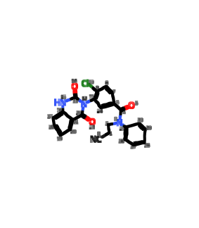 N#CCCN(C(=O)c1ccc(Cl)c(-n2c(=O)[nH]c3ccccc3c2=O)c1)c1ccccc1